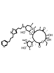 CC[C@H]1OC(=O)[C@H](C)[C@@H](C2C[C@@](C)(OC)[C@@H](O)[C@H](C)O2)[C@H](C)[C@@H](O[C@@H]2O[C@H](C)C[C@H](N(C)CCc3cn(CCCc4cccnc4)nn3)[C@H]2O)[C@](C)(OC)C[C@@H](C)C(=O)[C@H](C)[C@@H](O)[C@]1(C)O